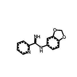 N=C(Nc1ccc2c(c1)OCO2)c1ccccn1